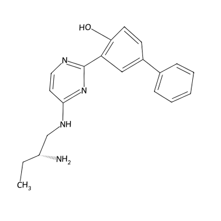 CC[C@@H](N)CNc1ccnc(-c2cc(-c3ccccc3)ccc2O)n1